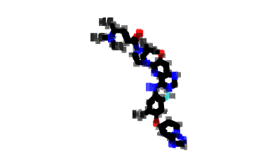 Cc1cc(Nc2ncnc3cc4c(nc23)N2CCN(C(=O)/C=C/[C@H](C)N(C)C)[C@H](CO4)C2)c(F)cc1Oc1ccn2ncnc2c1